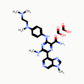 CNc1nc(Nc2ccc(N(C)CCN(C)C)cc2)c(C(N)=O)nc1-c1cncc2c1ncn2C.O=CO.O=CO